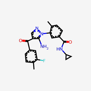 Cc1ccc(C(=O)c2cnn(-c3cc(C(=O)NC4CC4)ccc3C)c2N)cc1F